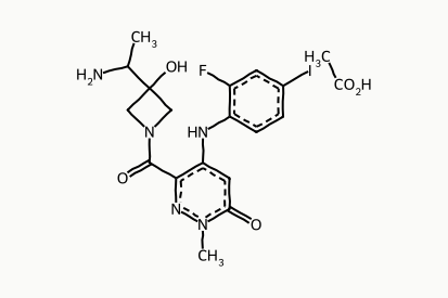 CC(=O)O.CC(N)C1(O)CN(C(=O)c2nn(C)c(=O)cc2Nc2ccc(I)cc2F)C1